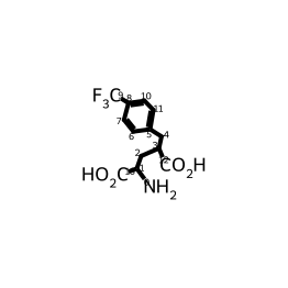 NC(CC(Cc1ccc(C(F)(F)F)cc1)C(=O)O)C(=O)O